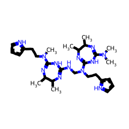 CC1N=C(NCN(CCc2ccc[nH]2)C2=NC(C)C(C)N=C(N(C)C)N2)NC(N(C)CCc2ccc[nH]2)=NC1C